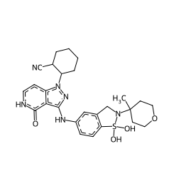 CC1(N2Cc3cc(Nc4nn(C5CCCCC5C#N)c5cc[nH]c(=O)c45)ccc3S2(O)O)CCOCC1